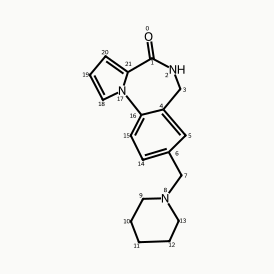 O=C1NCc2cc(CN3CCCCC3)ccc2-n2cccc21